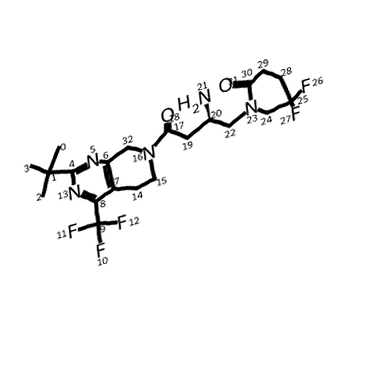 CC(C)(C)c1nc2c(c(C(F)(F)F)n1)CCN(C(=O)C[C@@H](N)CN1CC(F)(F)CCC1=O)C2